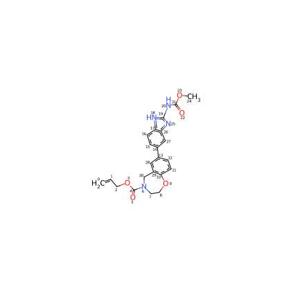 C=CCOC(=O)N1CCOc2ccc(-c3ccc4[nH]c(NC(=O)OC)nc4c3)cc2C1